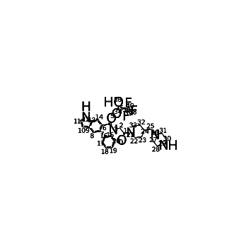 O=C(CN(C(=O)c1ccc2cc[nH]c2c1)c1ccccc1)N1CCC(CN2CCNCC2)CC1.O=C(O)C(F)(F)F